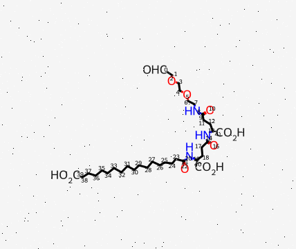 O=CCOCCOCCNC(=O)CC[C@H](NC(=O)CCC(NC(=O)CCCCCCCCCCCCCCCCC(=O)O)C(=O)O)C(=O)O